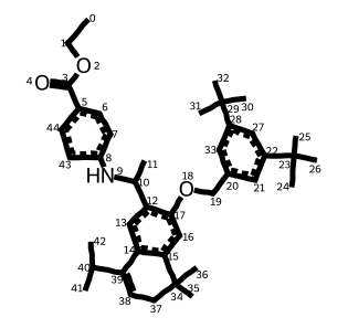 CCOC(=O)c1ccc(NC(C)c2cc3c(cc2OCc2cc(C(C)(C)C)cc(C(C)(C)C)c2)C(C)(C)CC=C3C(C)C)cc1